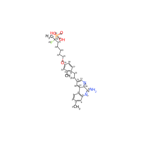 Cc1ccc2c(c1)nc(N)c1ncc(CCc3ccc(OCCCCCC(C)(F)P(=O)(O)O)cc3C)cc12